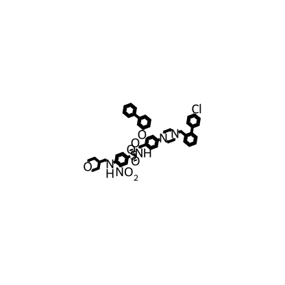 O=C(NS(=O)(=O)c1ccc(NCC2CCOCC2)c([N+](=O)[O-])c1)c1ccc(N2CCN(Cc3ccccc3-c3ccc(Cl)cc3)CC2)cc1Oc1cccc(-c2ccccc2)c1